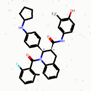 Cc1cccc(F)c1C(=O)N1c2ccccc2C[C@H](C(=O)Nc2ccc(O)c(C(F)(F)F)c2)[C@@H]1c1ccc(NC2CCCC2)cc1